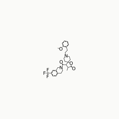 COc1ccccc1CCN1CCC2(CC1)OC(=O)C(C)C2C(=O)N1CCc2ccc(C(F)(F)F)cc2C1